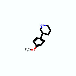 FC(F)(F)Oc1ccc(C2CCCNC2)cc1